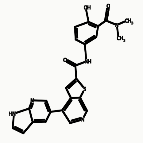 CN(C)C(=O)c1cc(NC(=O)c2cc3c(-c4cnc5[nH]ccc5c4)cncc3s2)ccc1O